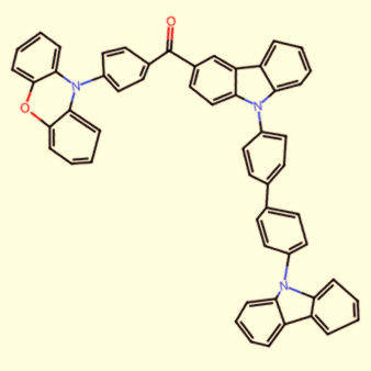 O=C(c1ccc(N2c3ccccc3Oc3ccccc32)cc1)c1ccc2c(c1)c1ccccc1n2-c1ccc(-c2ccc(-n3c4ccccc4c4ccccc43)cc2)cc1